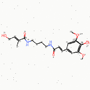 COc1cc(/C=C/C(=O)NCCCCNC(=O)/C(C)=C/CO)cc(OC)c1O